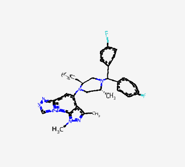 Cc1nn(C)c2c1c(N1C[C@@H](C)N(C(c3ccc(F)cc3)c3ccc(F)cc3)C[C@@H]1C)cc1nncn12